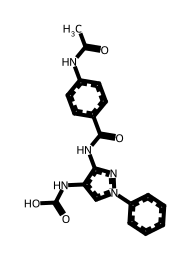 CC(=O)Nc1ccc(C(=O)Nc2nn(-c3ccccc3)cc2NC(=O)O)cc1